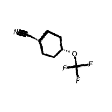 N#C[C@H]1CC[C@H](OC(F)(F)F)CC1